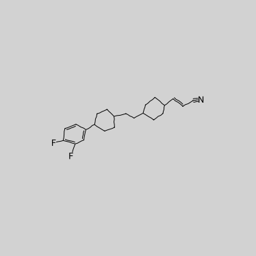 N#CC=CC1CCC(CCC2CCC(c3ccc(F)c(F)c3)CC2)CC1